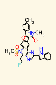 CNC(=O)c1c(-c2ccc(C)cc2)oc2cc(N(CCCF)S(C)(=O)=O)c(-c3cncc(-c4cc5ccccc5[nH]4)n3)cc12